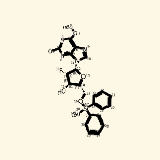 CCCCOc1nc(Cl)nc2c1ncn2[C@@H]1O[C@H](CO[Si](c2ccccc2)(c2ccccc2)C(C)(C)C)[C@@H](O)[C@@H]1F